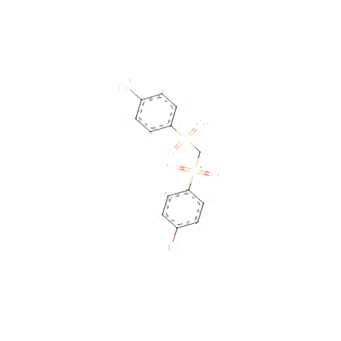 O=S(=O)(CS(=O)(=O)c1ccc(Br)cc1)c1ccc(Br)cc1